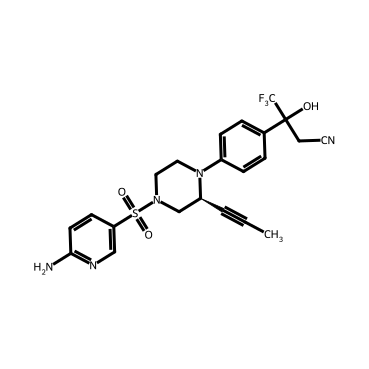 CC#C[C@H]1CN(S(=O)(=O)c2ccc(N)nc2)CCN1c1ccc(C(O)(CC#N)C(F)(F)F)cc1